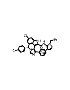 Cc1cnn(CC(C)C)c1NC(=O)c1[nH]c2cc(Cl)cc3c2c1-c1c(-c2ccccc2)ncn1[C@@H]3c1ccc(Cl)cc1